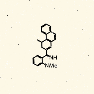 CNc1ccccc1C(=N)C1=Cc2ccc3ccccc3c2C(C)C1